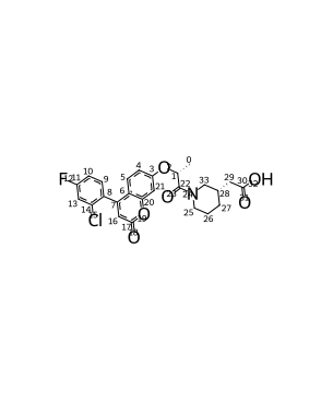 C[C@@H](Oc1ccc2c(-c3ccc(F)cc3Cl)cc(=O)oc2c1)C(=O)N1CCC[C@@H](CC(=O)O)C1